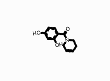 O=C(c1ccc(O)cc1O)N1CC=CCC1